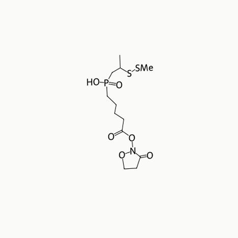 CSSC(C)CP(=O)(O)CCCCC(=O)ON1OCCC1=O